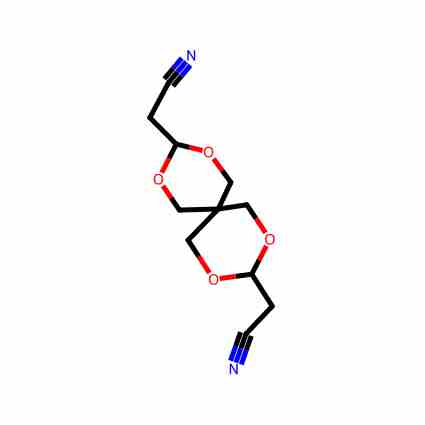 N#CCC1OCC2(CO1)COC(CC#N)OC2